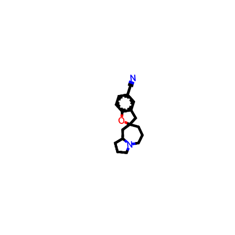 N#Cc1ccc2c(c1)CC1(CCCN3CCCC3C1)O2